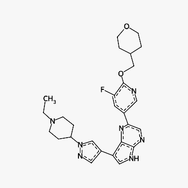 CCN1CCC(n2cc(-c3c[nH]c4ncc(-c5cnc(OCC6CCOCC6)c(F)c5)nc34)cn2)CC1